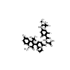 CC[C@@H](Nc1cc(F)c(C(=O)N[C@@H](Cc2ccc(-c3c(C(F)(F)F)c4cc(F)ccc4n(C)c3=O)c3nccn23)C(=O)O)c(F)c1)C(F)(F)F